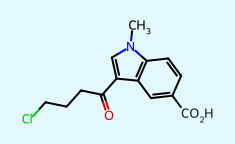 Cn1cc(C(=O)CCCCl)c2cc(C(=O)O)ccc21